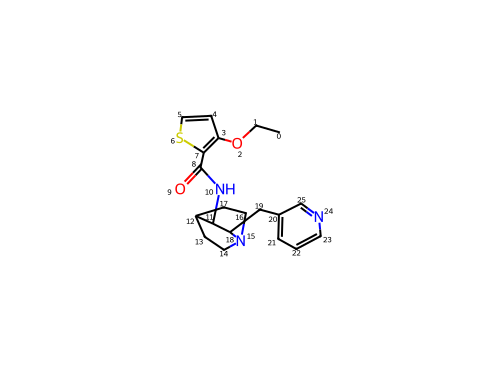 CCOc1ccsc1C(=O)NC1C2CCN(CC2)C1Cc1cccnc1